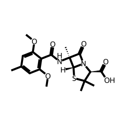 COc1cc(C)cc(OC)c1C(=O)N[C@@]1(C)C(=O)N2[C@@H](C(=O)O)C(C)(C)S[C@@H]21